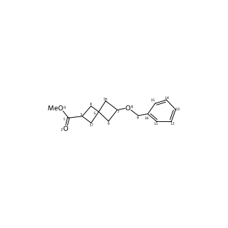 COC(=O)C1CC2(CC(OCc3ccccc3)C2)C1